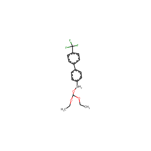 CCOC(OCC)O[SiH2]c1ccc(-c2ccc(C(F)(F)F)cc2)cc1